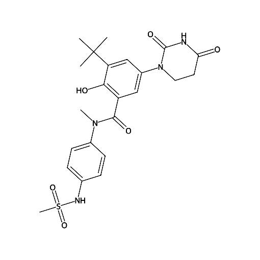 CN(C(=O)c1cc(N2CCC(=O)NC2=O)cc(C(C)(C)C)c1O)c1ccc(NS(C)(=O)=O)cc1